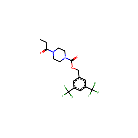 [CH2]CC(=O)N1CCN(C(=O)OCc2cc(C(F)(F)F)cc(C(F)(F)F)c2)CC1